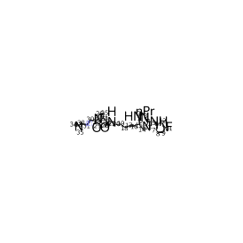 CCCNc1nc(Nc2cccc(F)c2)ncc1C#CCCCNC(=O)[C@@H]1CCN1C(=O)/C=C/CN(C)C